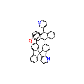 c1cncc(-c2c3ccccc3c(-c3ccc4c(c3)C3(c5ccccc5-c5cc6oc7ccccc7c6cc53)c3cccnc3-4)c3ccccc23)c1